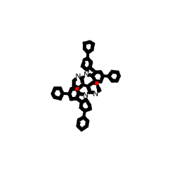 c1ccc(-c2ccc3c(c2)c2cc(-c4ccccc4)ccc2n3-c2ncccc2-c2cccnc2-n2c3ccc(-c4ccccc4)cc3c3cc(-c4ccccc4)ccc32)cc1